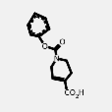 O=C(O)C1=CCN(C(=O)Oc2ccccc2)CC1